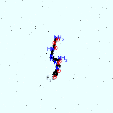 NC(=O)CCOCCC(=O)NCCCCn1cnc(-c2cnc(OC3CCN(C(=O)Cc4ccc(OC(F)(F)F)cc4)CC3)c(C(N)=O)c2)c1